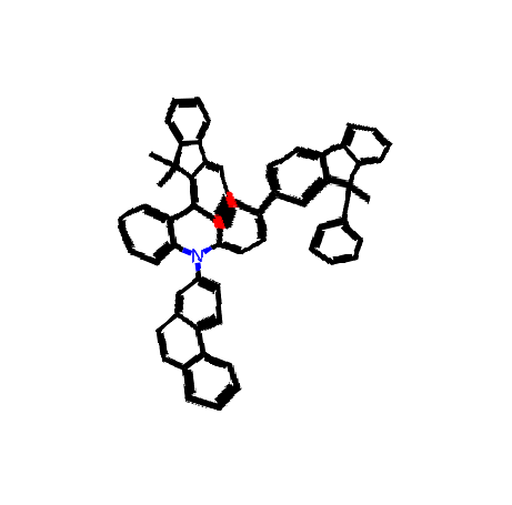 CC1(C)c2ccccc2-c2cccc(-c3ccccc3N(c3ccc(-c4ccc5c(c4)C(C)(c4ccccc4)c4ccccc4-5)cc3)c3ccc4c(ccc5ccccc54)c3)c21